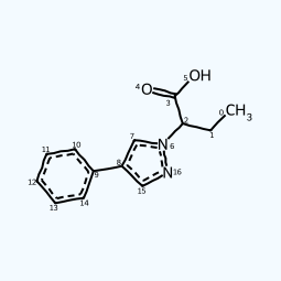 CCC(C(=O)O)n1cc(-c2ccccc2)cn1